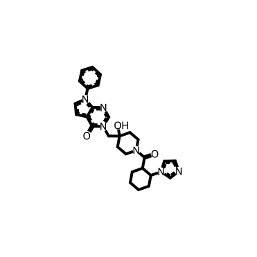 O=C(C1CCCCC1n1ccnc1)N1CCC(O)(Cn2cnc3c(ccn3-c3ccccc3)c2=O)CC1